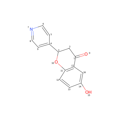 O=C1CC(c2ccncc2)Oc2ccc(O)cc21